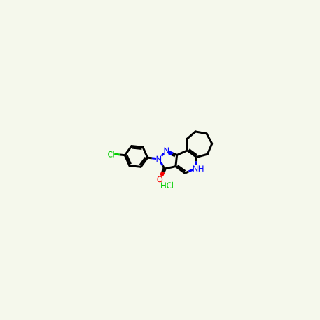 Cl.O=c1c2c[nH]c3c(c-2nn1-c1ccc(Cl)cc1)CCCCC3